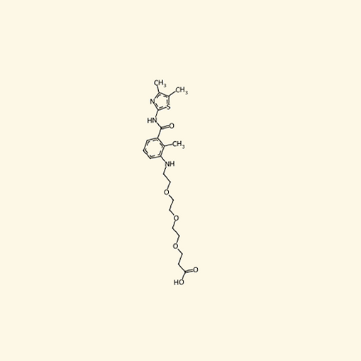 Cc1nc(NC(=O)c2cccc(NCCOCCOCCOCCC(=O)O)c2C)sc1C